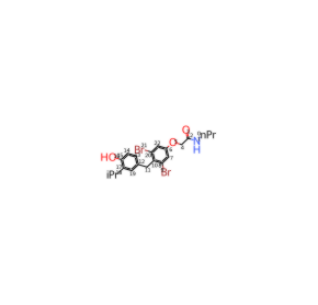 CCCNC(=O)COc1cc(Br)c(Cc2ccc(O)c(C(C)C)c2)c(Br)c1